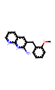 COc1ccccc1Cc1cc2cccnc2nc1N